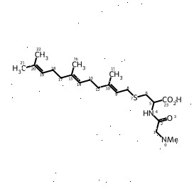 CNCC(=O)NC(CSC/C=C(\C)CC/C=C(\C)CCC=C(C)C)C(=O)O